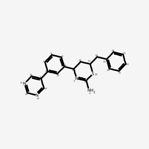 NC1=NC(c2cccc(-c3cncnc3)c2)CC(Cc2ccccc2)S1